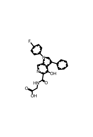 O=C(O)CNC(=O)c1ncc2c(c(-c3ccccc3)cn2-c2ccc(F)cc2)c1O